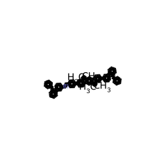 CC1(C)c2cc(-c3ccc(/C=C/c4ccc5c(c4)c4ccccc4n5-c4ccccc4)cc3)ccc2-c2cc3c(cc21)-c1ccc(-c2ccc4c(c2)c2ccccc2n4-c2ccccc2)cc1C3(C)C